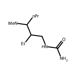 CCCC(NC)C(CC)CNC(N)=O